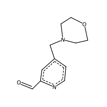 O=Cc1cc(CN2CCOCC2)ccn1